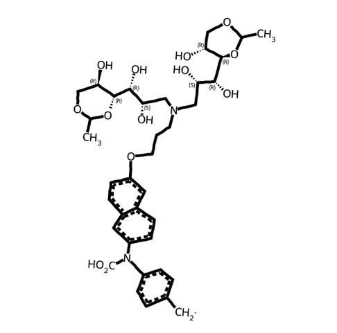 [CH2]c1ccc(N(C(=O)O)c2ccc3cc(OCCCN(C[C@H](O)[C@@H](O)[C@@H]4OC(C)OC[C@H]4O)C[C@H](O)[C@@H](O)[C@@H]4OC(C)OC[C@H]4O)ccc3c2)cc1